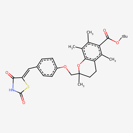 Cc1c(C)c(C(=O)OC(C)(C)C)c(C)c2c1OC(C)(COc1ccc(/C=C3\SC(=O)NC3=O)cc1)CC2